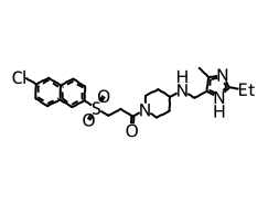 CCc1nc(C)c(CNC2CCN(C(=O)CCS(=O)(=O)c3ccc4cc(Cl)ccc4c3)CC2)[nH]1